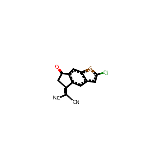 N#CC(C#N)=C1CC(=O)c2cc3sc(Cl)cc3cc21